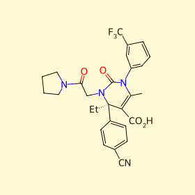 CC[C@@]1(c2ccc(C#N)cc2)C(C(=O)O)=C(C)N(c2cccc(C(F)(F)F)c2)C(=O)N1CC(=O)N1CCCC1